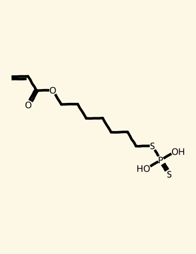 C=CC(=O)OCCCCCCCSP(O)(O)=S